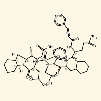 CC(C)C[C@H](NC(=O)[C@H](CC(=O)O)N(C)C(=O)[C@H](CC1CCCCC1)NC(=O)[C@H](CCC(N)=O)NC(=O)/C=C/c1cccnc1)C(=O)N1[C@H](C(=O)N[C@@H](Cc2ccccc2)C(=O)O)C[C@@H]2CCCC[C@@H]21